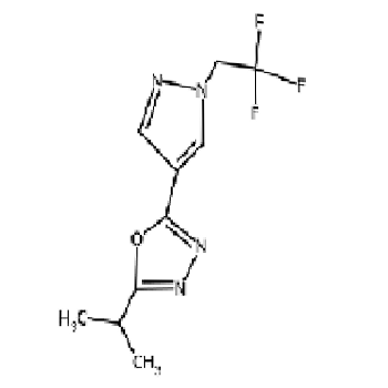 CC(C)c1nnc(-c2cnn(CC(F)(F)F)c2)o1